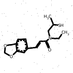 CCN(CC(C)S)C(=O)/C=C/c1ccc2c(c1)OCO2